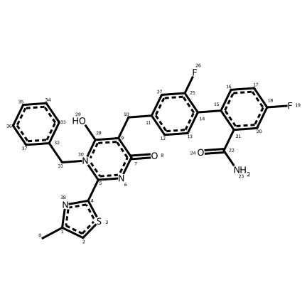 Cc1csc(-c2nc(=O)c(Cc3ccc(-c4ccc(F)cc4C(N)=O)c(F)c3)c(O)n2Cc2ccccc2)n1